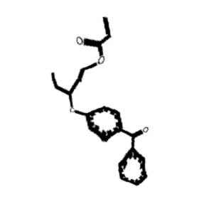 C=CC(=O)OCCC(CC)Oc1ccc(C(=O)c2ccccc2)cc1